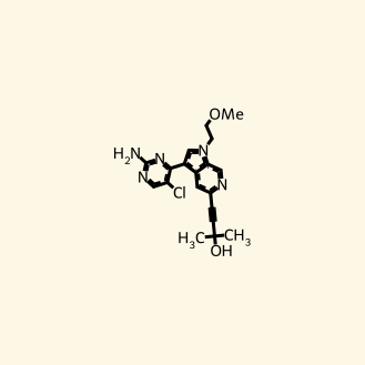 COCCn1cc(-c2nc(N)ncc2Cl)c2cc(C#CC(C)(C)O)ncc21